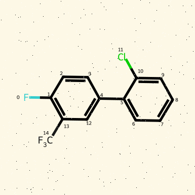 Fc1ccc(-c2cc[c]cc2Cl)cc1C(F)(F)F